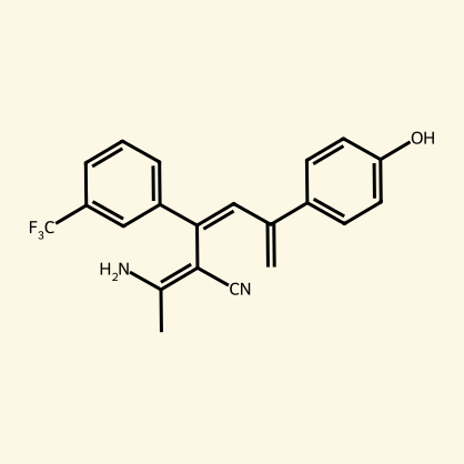 C=C(/C=C(\C(C#N)=C(\C)N)c1cccc(C(F)(F)F)c1)c1ccc(O)cc1